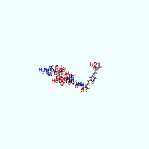 CC(C)(COP(=O)(O)OP(=O)(O)OCC1OC(n2cnc3c(N)ncnc32)C(O)C1OP(=O)(O)O)C(O)C(=O)NCCC(=O)NCCC(=O)C1(CCCc2cccc(CCCCC3(C(=O)O)CC3)c2)CC1